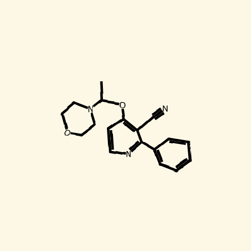 CC(Oc1ccnc(-c2ccccc2)c1C#N)N1CCOCC1